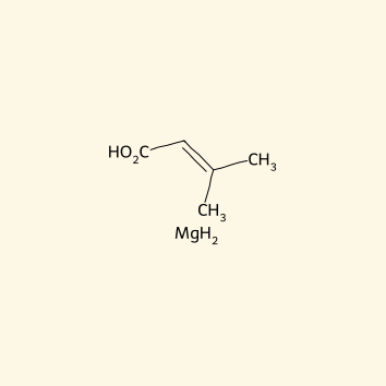 CC(C)=CC(=O)O.[MgH2]